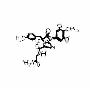 Cc1ccc(C[C@]2(C)C(=O)N(c3cc(Cl)c(C)c(Cl)c3)c3ncc(C(=O)NCC(N)=O)n32)cc1